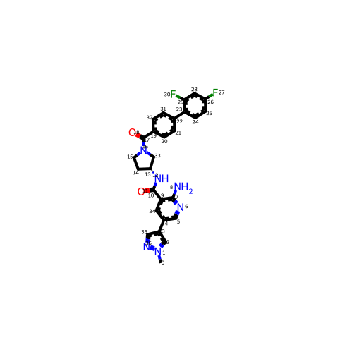 Cn1cc(-c2cnc(N)c(C(=O)N[C@@H]3CCN(C(=O)c4ccc(-c5ccc(F)cc5F)cc4)C3)c2)cn1